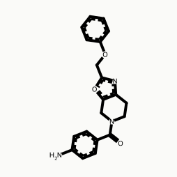 Nc1ccc(C(=O)N2CCc3nc(COc4ccccc4)oc3C2)cc1